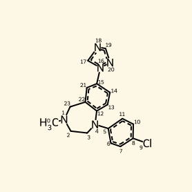 CN1CCN(c2ccc(Cl)cc2)c2ccc(-n3cncn3)cc2C1